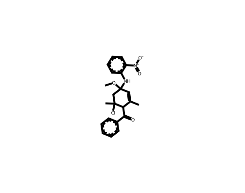 COC1(Nc2ccccc2[N+](=O)[O-])C=C(C)C(C(=O)c2ccccc2)C(C)(Cl)C1